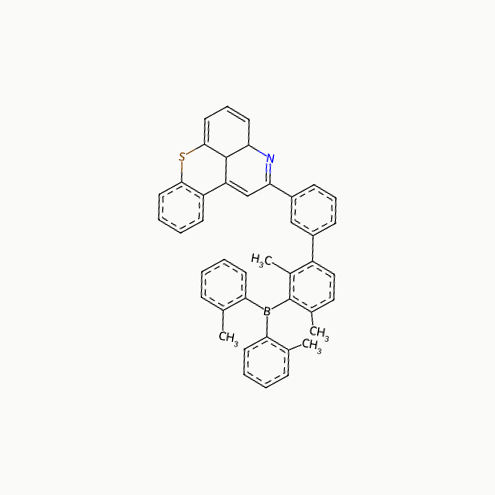 Cc1ccccc1B(c1ccccc1C)c1c(C)ccc(-c2cccc(C3=NC4C=CC=C5Sc6ccccc6C(=C3)C54)c2)c1C